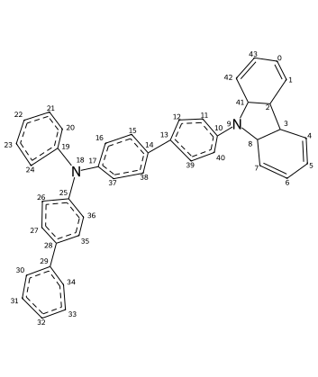 C1=CC2C3C=CC=CC3N(c3ccc(-c4ccc(N(c5ccccc5)c5ccc(-c6ccccc6)cc5)cc4)cc3)C2C=C1